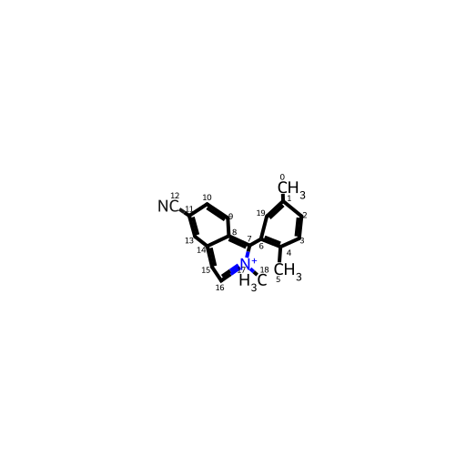 Cc1ccc(C)c(-c2c3ccc(C#N)cc3cc[n+]2C)c1